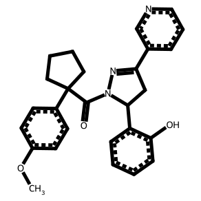 COc1ccc(C2(C(=O)N3N=C(c4cccnc4)CC3c3ccccc3O)CCCC2)cc1